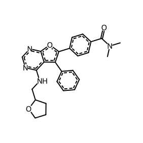 CN(C)C(=O)c1ccc(-c2oc3ncnc(NCC4CCCO4)c3c2-c2ccccc2)cc1